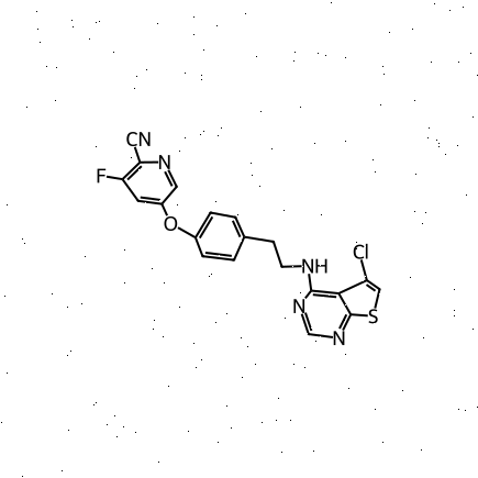 N#Cc1ncc(Oc2ccc(CCNc3ncnc4scc(Cl)c34)cc2)cc1F